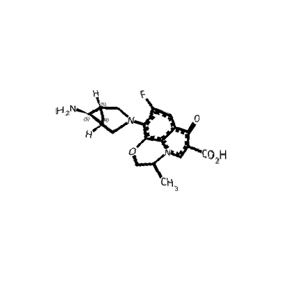 CC1COc2c(N3C[C@@H]4[C@@H](N)[C@@H]4C3)c(F)cc3c(=O)c(C(=O)O)cn1c23